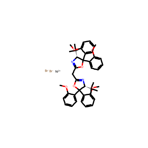 COc1ccccc1C1(c2ccccc2OC)OC(CC2=N[C@H](C(C)(C)C)C(c3ccccc3OC)(c3ccccc3OC)O2)=N[C@@H]1C(C)(C)C.[Br-].[Br-].[Ni+2]